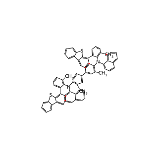 Cc1cc(-c2ccc(N(c3c(C)cccc3-c3cccc4c3sc3ccccc34)c3cccc4ccccc34)c(C)c2)ccc1N(c1c(C)cccc1-c1cccc2c1sc1ccccc12)c1cccc2ccccc12